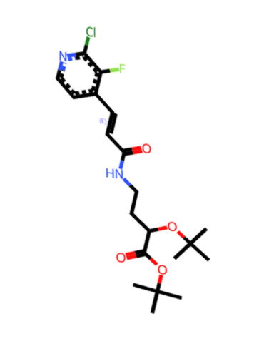 CC(C)(C)OC(=O)C(CCNC(=O)/C=C/c1ccnc(Cl)c1F)OC(C)(C)C